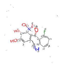 N#Cc1cc(O)c(O)c([N+](=O)[O-])c1C(=O)c1ccccc1F